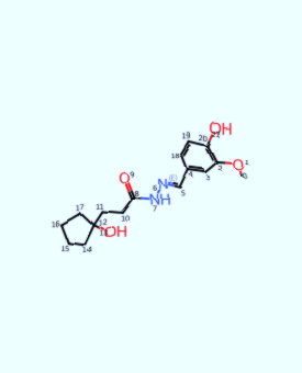 COc1cc(/C=N/NC(=O)CCC2(O)CCCC2)ccc1O